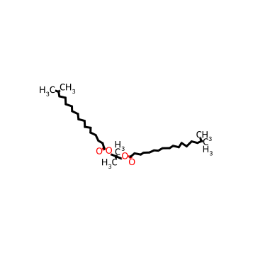 CC(C)CCCCCCCCCCCCCCC(=O)OCC(C)(C)COC(=O)CCCCCCCCCCCCCCC(C)C